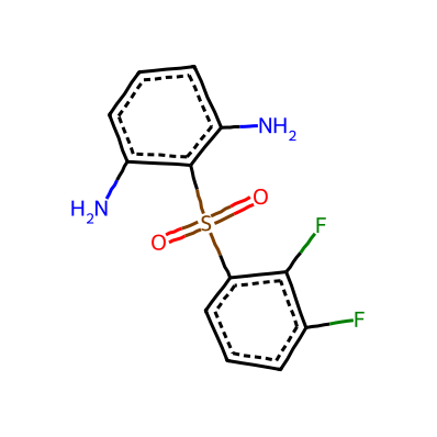 Nc1cccc(N)c1S(=O)(=O)c1cccc(F)c1F